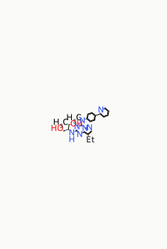 CCc1cnn2c(N(C)c3ccc(-c4ccccn4)cc3)nc(N[C@@H](CO)[C@H](C)O)nc12